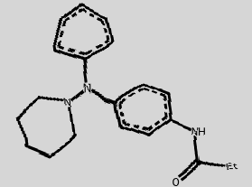 CCC(=O)Nc1ccc(N(c2ccccc2)N2CCCCC2)cc1